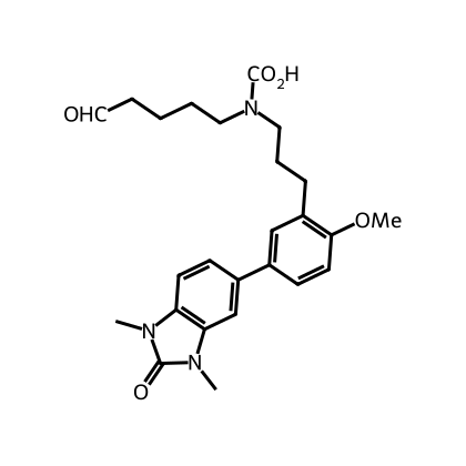 COc1ccc(-c2ccc3c(c2)n(C)c(=O)n3C)cc1CCCN(CCCCC=O)C(=O)O